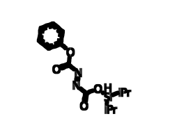 CC(C)[SiH](OC(=O)N=NC(=O)Oc1ccccc1)C(C)C